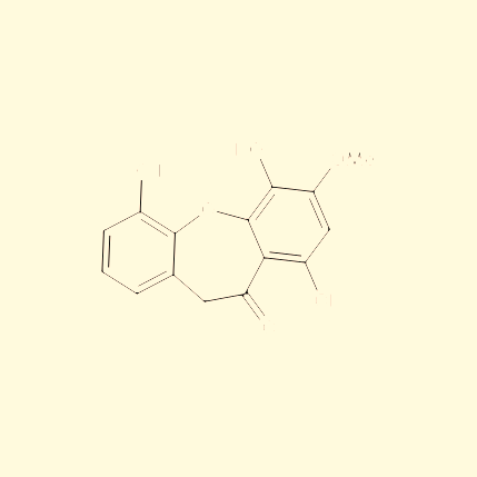 COc1cc(O)c2c(c1O)Oc1c(C)cccc1CC2=O